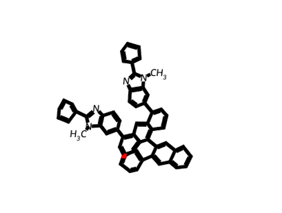 Cn1c(-c2ccccc2)nc2ccc(-c3cccc4c(-c5cc6ccccc6cc5-c5ccccc5)c5cccc(-c6ccc7nc(-c8ccccc8)n(C)c7c6)c5cc34)cc21